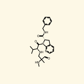 CNC(C)(C=O)CN[C@H](C(=O)N1c2ncccc2C[C@H]1C(=O)NCc1ccccc1)C(C)C